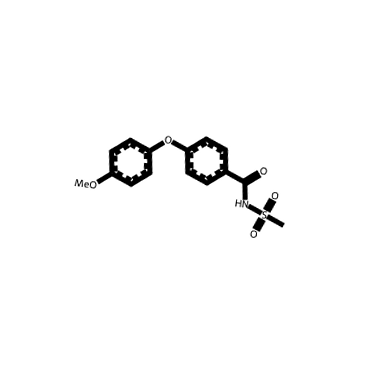 COc1ccc(Oc2ccc(C(=O)NS(C)(=O)=O)cc2)cc1